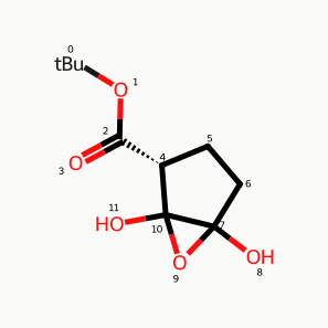 CC(C)(C)OC(=O)[C@@H]1CCC2(O)OC12O